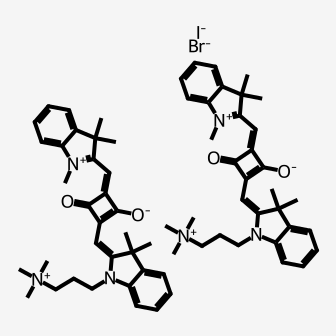 C[N+]1=C(/C=C2\C(=O)C(/C=C3/N(CCC[N+](C)(C)C)c4ccccc4C3(C)C)=C2[O-])C(C)(C)c2ccccc21.C[N+]1=C(/C=C2\C(=O)C(/C=C3/N(CCC[N+](C)(C)C)c4ccccc4C3(C)C)=C2[O-])C(C)(C)c2ccccc21.[Br-].[I-]